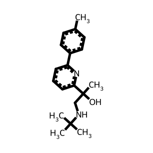 Cc1ccc(-c2cccc(C(C)(O)CNC(C)(C)C)n2)cc1